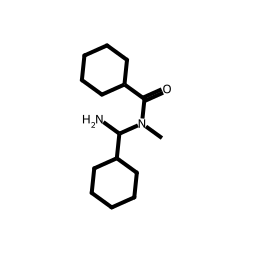 CN(C(=O)C1CCCCC1)C(N)C1CCCCC1